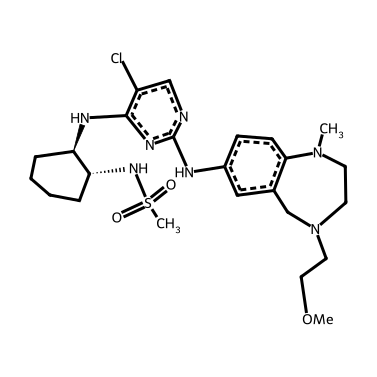 COCCN1CCN(C)c2ccc(Nc3ncc(Cl)c(N[C@@H]4CCCC[C@H]4NS(C)(=O)=O)n3)cc2C1